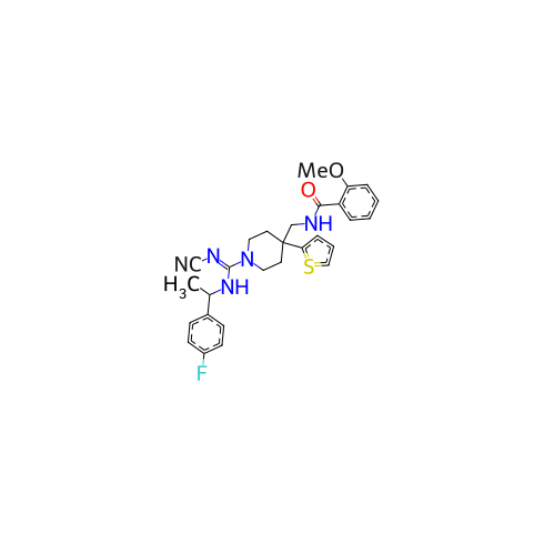 COc1ccccc1C(=O)NCC1(c2cccs2)CCN(/C(=N/C#N)NC(C)c2ccc(F)cc2)CC1